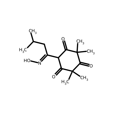 CC(C)CC(=NO)C1C(=O)C(C)(C)C(=O)C(C)(C)C1=O